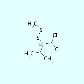 CSS[C@@H](C(C)C)C(Cl)Cl